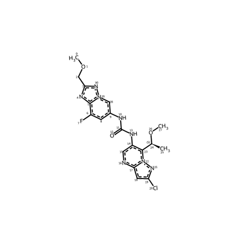 COCc1nc2c(F)cc(NC(=O)Nc3cnc4cc(Cl)nn4c3[C@H](C)OC)cn2n1